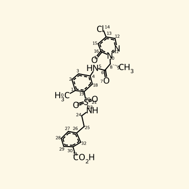 Cc1ccc(NC(=O)[C@@H](C)n2ncc(Cl)cc2=O)cc1S(=O)(=O)NCCc1cccc(C(=O)O)c1